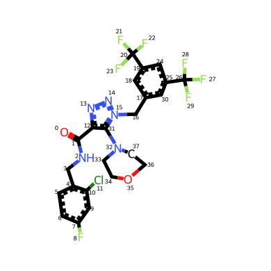 O=C(NCc1ccc(F)cc1Cl)c1nnn(Cc2cc(C(F)(F)F)cc(C(F)(F)F)c2)c1N1CCOCC1